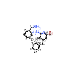 NCc1ccccc1.Nc1nc(Br)cc(Cc2ccccc2)c1[N+](=O)[O-]